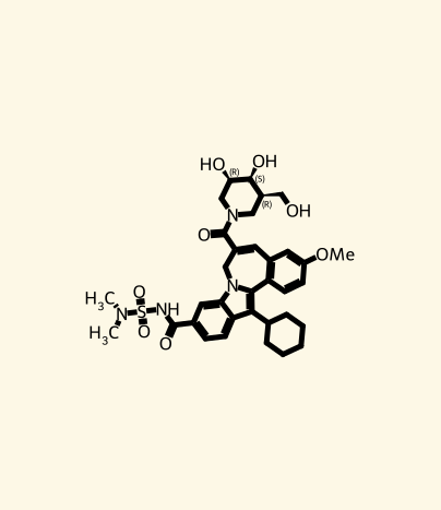 COc1ccc2c(c1)C=C(C(=O)N1C[C@H](CO)[C@H](O)[C@H](O)C1)Cn1c-2c(C2CCCCC2)c2ccc(C(=O)NS(=O)(=O)N(C)C)cc21